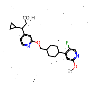 CCOc1cc(C2CCC(COc3cc(C(CC(=O)O)C4CC4)ccn3)CC2)c(F)cn1